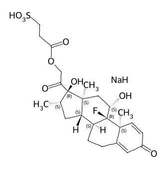 C[C@H]1C[C@H]2[C@@H]3CCC4=CC(=O)C=C[C@]4(C)[C@@]3(F)[C@@H](O)C[C@]2(C)[C@@]1(O)C(=O)COC(=O)CCS(=O)(=O)O.[NaH]